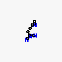 c1cc(-c2ccc(-c3ccc4c(c3)ncc3ccccc34)cc2)cc(-c2cc(-c3ccncc3)nc(-c3ccncc3)c2)c1